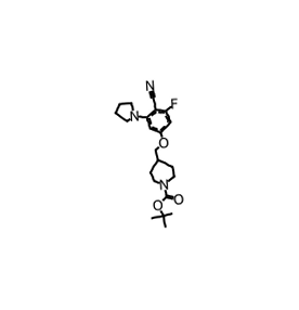 CC(C)(C)OC(=O)N1CCC(COc2cc(F)c(C#N)c(N3CCCC3)c2)CC1